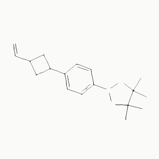 CC1(C)OB(c2ccc(C3CC(C=O)C3)cc2)OC1(C)C